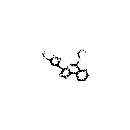 CCOc1cc(-c2nnc3c4cccnc4c(OCC(F)(F)F)nn23)no1